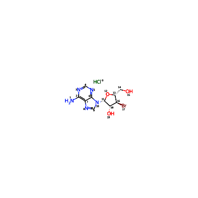 Cl.Nc1ncnc2c1ncn2[C@@H]1O[C@H](CO)[C@@H](Br)[C@@H]1O